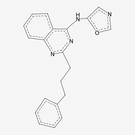 c1ccc(CCCc2nc(Nc3cnco3)c3ccccc3n2)cc1